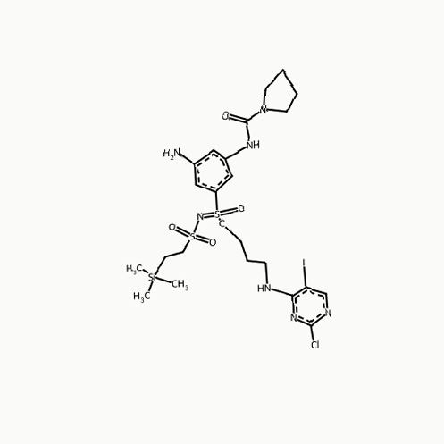 C[Si](C)(C)CCS(=O)(=O)N=S(=O)(CCCCNc1nc(Cl)ncc1I)c1cc(N)cc(NC(=O)N2CCCC2)c1